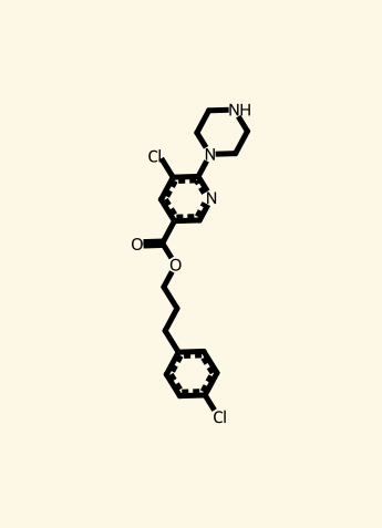 O=C(OCCCc1ccc(Cl)cc1)c1cnc(N2CCNCC2)c(Cl)c1